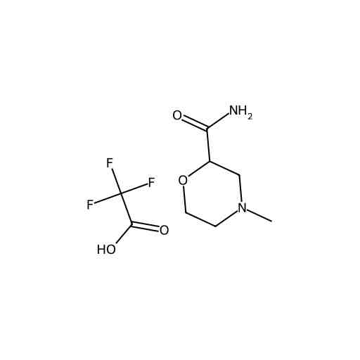 CN1CCOC(C(N)=O)C1.O=C(O)C(F)(F)F